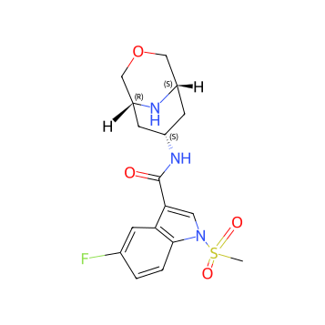 CS(=O)(=O)n1cc(C(=O)N[C@H]2C[C@H]3COC[C@@H](C2)N3)c2cc(F)ccc21